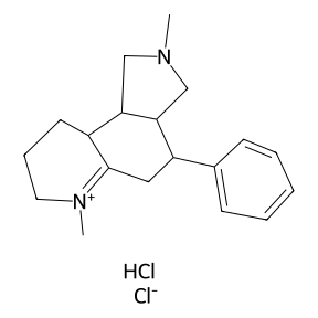 CN1CC2C3CCC[N+](C)=C3CC(c3ccccc3)C2C1.Cl.[Cl-]